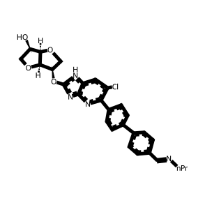 CCC/N=C/c1ccc(-c2ccc(-c3nc4nc(O[C@@H]5CO[C@H]6[C@@H]5OC[C@H]6O)[nH]c4cc3Cl)cc2)cc1